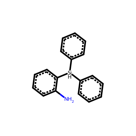 Nc1ccccc1[SiH](c1ccccc1)c1ccccc1